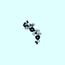 CCN1CCCC1CNc1ccc(NC(=O)Nc2ccc(OC(C)C)cc2)cc1[N+](=O)[O-]